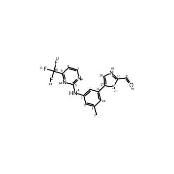 Cc1cc(Nc2nccc(C(F)(F)F)n2)cc(-c2cnc(C=O)s2)c1